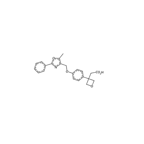 Cc1oc(-c2ccccc2)nc1COc1ccc(C2(CC(=O)O)COC2)cc1